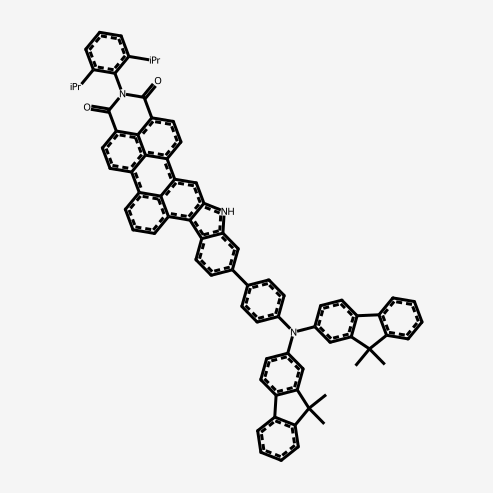 CC(C)c1cccc(C(C)C)c1N1C(=O)c2ccc3c4cccc5c6c(cc(c7ccc(c2c37)C1=O)c45)[nH]c1cc(-c2ccc(N(c3ccc4c(c3)C(C)(C)c3ccccc3-4)c3ccc4c(c3)C(C)(C)c3ccccc3-4)cc2)ccc16